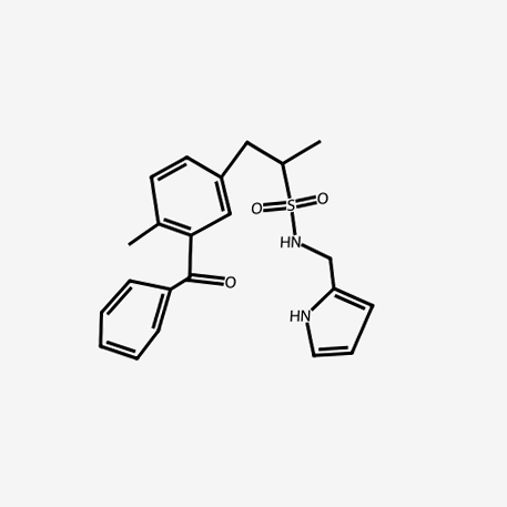 Cc1ccc(CC(C)S(=O)(=O)NCc2ccc[nH]2)cc1C(=O)c1ccccc1